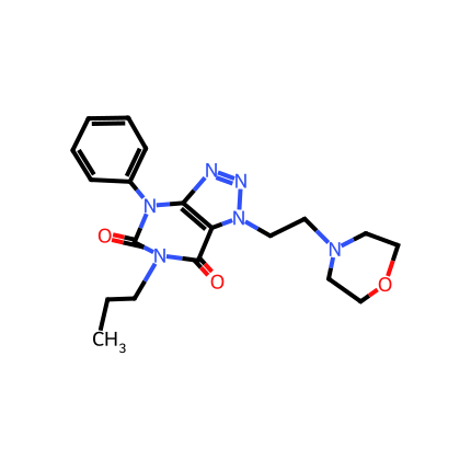 CCCn1c(=O)c2c(nnn2CCN2CCOCC2)n(-c2ccccc2)c1=O